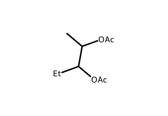 [CH2]CC(OC(C)=O)C(C)OC(C)=O